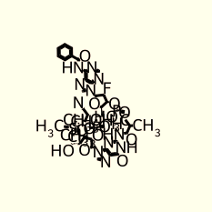 CC(C)C(=O)Nc1nc2c(ncn2[C@@H]2O[C@H](CO)[C@H](O[Si](C)(C)C(C)(C)C)C2OP(=O)(OCCC#N)OC[C@H]2O[C@@H](n3cnc4c(NC(=O)c5ccccc5)ncnc43)C(F)[C@H]2O[PH](=O)O)c(=O)[nH]1